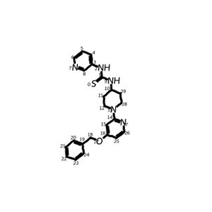 S=C(Nc1cccnc1)NC1CCN(c2cc(OCc3ccccc3)ccn2)CC1